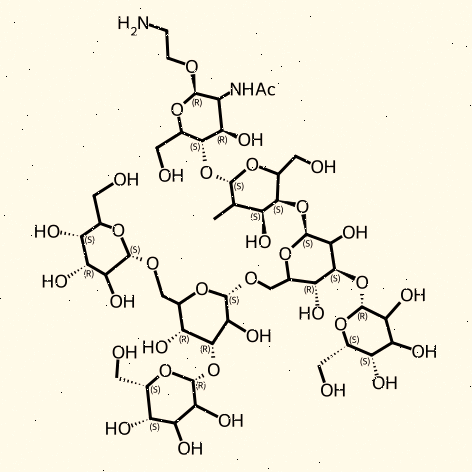 CC(=O)NC1[C@H](OCCN)OC(CO)[C@@H](O[C@@H]2OC(CO)[C@@H](O[C@@H]3OC(CO[C@H]4OC(CO[C@H]5OC(CO)[C@@H](O)[C@@H](O)C5O)[C@@H](O)[C@@H](O[C@H]5O[C@@H](CO)[C@@H](O)C(O)C5O)C4O)[C@@H](O)[C@H](O[C@H]4O[C@@H](CO)[C@@H](O)C(O)C4O)C3O)[C@@H](O)C2C)[C@@H]1O